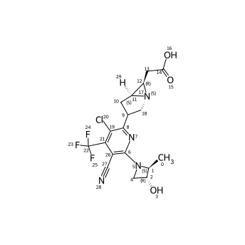 C[C@H]1[C@H](O)CN1c1nc(C2C[C@H]3[C@@H](CC(=O)O)[N@]3C2)c(Cl)c(C(F)(F)F)c1C#N